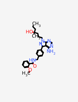 CCCC(C)(O)CCCn1nc(-c2ccc(CNC(=O)c3ccccc3OC)cc2)c2c(N)ncnc21